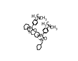 CN(C)c1ccc(NC(=O)N(CC2CCCCC2)C[C@H]2CCC[C@H](CN(CC3CCCCC3)C(=O)Nc3ccc(N(C)C)cc3)C2)cc1